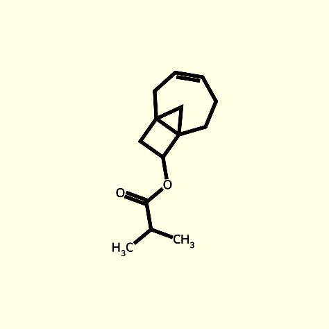 CC(C)C(=O)OC1CC23CC=CCCC12C3